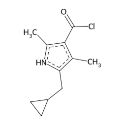 Cc1[nH]c(CC2CC2)c(C)c1C(=O)Cl